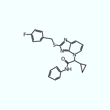 O=C(Nc1ccccc1)C(C1CC1)n1cccc2nc(SCc3ccc(F)cc3)nc1-2